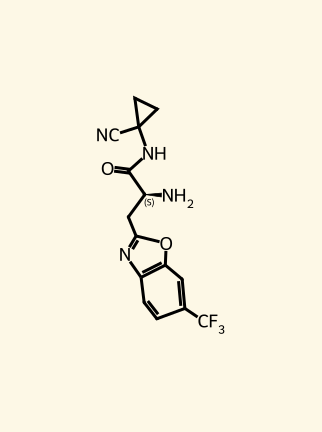 N#CC1(NC(=O)[C@@H](N)Cc2nc3ccc(C(F)(F)F)cc3o2)CC1